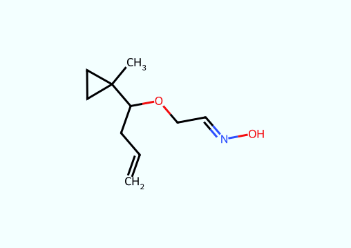 C=CCC(OCC=NO)C1(C)CC1